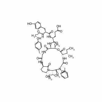 CC[C@H](C)[C@@H]1NC(=O)[C@H](Cc2ccccc2)N(C)C(=O)[C@H](C(C)C)N2C(=O)[C@H](CC[C@H]2O)NC(=O)[C@H](Cc2ccc(O)cc2)NC(=O)[C@@H](NC(=O)[C@H](CCC(=O)O)NC(=O)[C@H](Cc2ccc(O)cc2)NC(C)=O)[C@@H](C)OC1=O